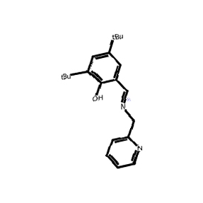 CC(C)(C)c1cc(/C=N/Cc2ccccn2)c(O)c(C(C)(C)C)c1